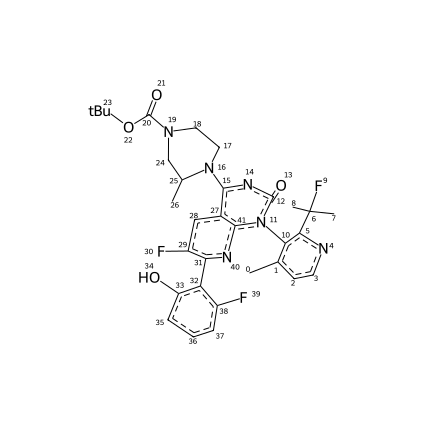 Cc1ccnc(C(C)(C)F)c1-n1c(=O)nc(N2CCN(C(=O)OC(C)(C)C)CC2C)c2cc(F)c(-c3c(O)cccc3F)nc21